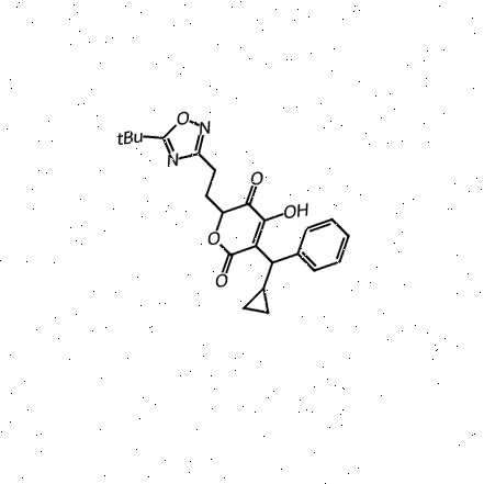 CC(C)(C)c1nc(CCC2OC(=O)C(C(c3ccccc3)C3CC3)=C(O)C2=O)no1